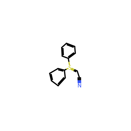 N#CC=S(c1ccccc1)c1ccccc1